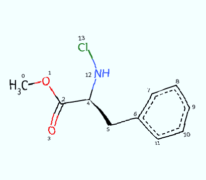 COC(=O)[C@H](Cc1ccccc1)NCl